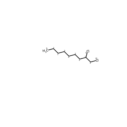 CCCCCCCC(Cl)CCl